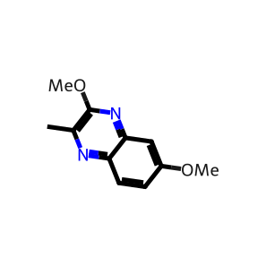 COc1ccc2nc(C)c(OC)nc2c1